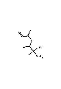 C=CC(C)CC(C)C(C)(N)C(C)C